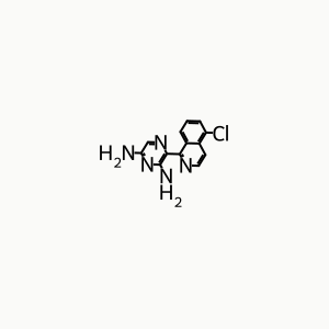 Nc1cnc(-c2nccc3c(Cl)cccc23)c(N)n1